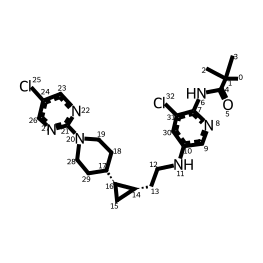 CC(C)(C)C(=O)Nc1ncc(NCC[C@@H]2C[C@@H]2C2CCN(c3ncc(Cl)cn3)CC2)cc1Cl